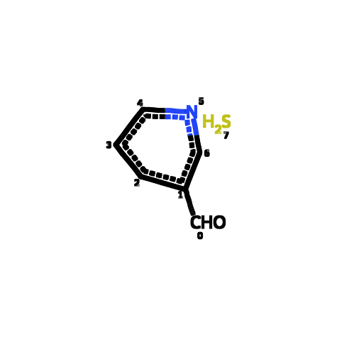 O=Cc1cccnc1.S